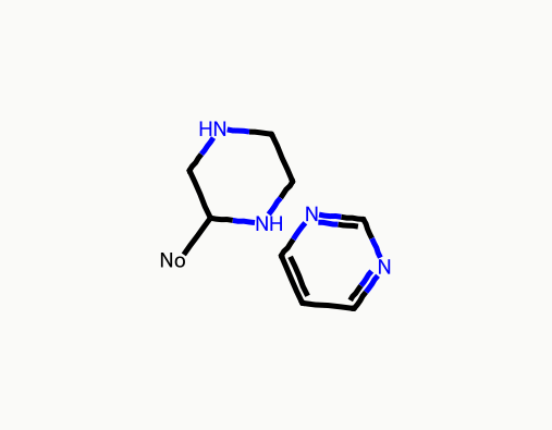 [No][CH]1CNCCN1.c1cncnc1